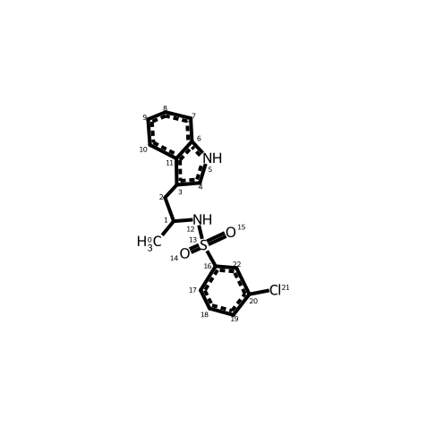 CC(Cc1c[nH]c2ccccc12)NS(=O)(=O)c1cccc(Cl)c1